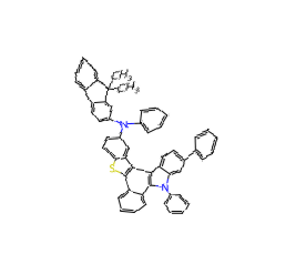 CC1(C)c2ccccc2-c2ccc(N(c3ccccc3)c3ccc4sc5c6ccccc6c6c(c7ccc(-c8ccccc8)cc7n6-c6ccccc6)c5c4c3)cc21